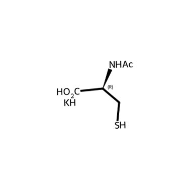 CC(=O)N[C@@H](CS)C(=O)O.[KH]